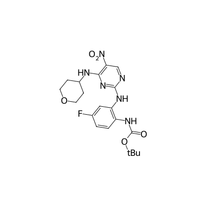 CC(C)(C)OC(=O)Nc1ccc(F)cc1Nc1ncc([N+](=O)[O-])c(NC2CCOCC2)n1